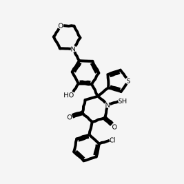 O=C1CC(c2ccsc2)(c2ccc(N3CCOCC3)cc2O)N(S)C(=O)C1c1ccccc1Cl